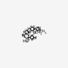 COc1cc(Cc2cnc3n(c2=O)CC(CO)(c2ccc(F)cc2)CCN3I)ccc1-n1cnc(C)c1